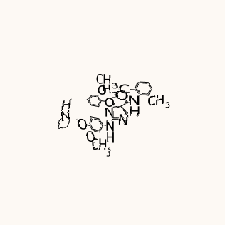 CCOc1ccccc1Oc1nc(Nc2ccc(OC[C@@H]3CCCN3)c(OC)c2)ncc1C(=O)Nc1c(C)cccc1C